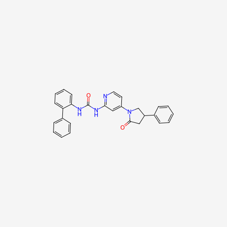 O=C(Nc1cc(N2CC(c3ccccc3)CC2=O)ccn1)Nc1ccccc1-c1ccccc1